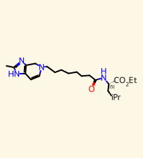 CCOC(=O)[C@H](CC(C)C)NC(=O)CCCCCCCN1C=Cc2[nH]c(C)nc2C1